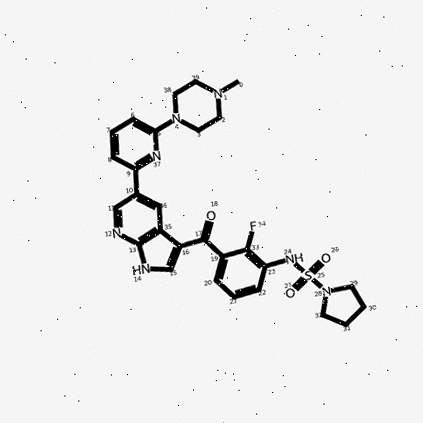 CN1CCN(c2cccc(-c3cnc4[nH]cc(C(=O)c5cccc(NS(=O)(=O)N6CCCC6)c5F)c4c3)n2)CC1